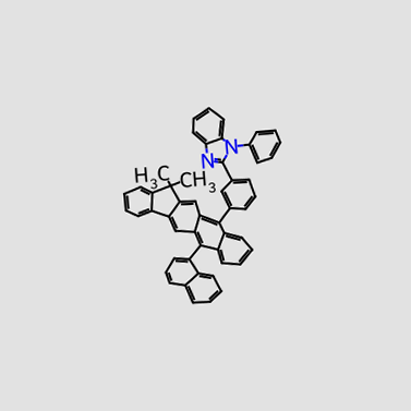 CC1(C)c2ccccc2-c2cc3c(-c4cccc5ccccc45)c4ccccc4c(-c4cccc(-c5nc6ccccc6n5-c5ccccc5)c4)c3cc21